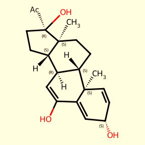 CC(=O)[C@@]1(O)CC[C@H]2[C@@H]3C=C(O)C4=C[C@@H](O)C=C[C@]4(C)[C@H]3CC[C@@]21C